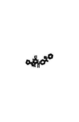 CC(C1CCN(Nc2nc(Cl)nc3c2ncn3C2CCCC2)CC1)[S+]([O-])c1ccccc1